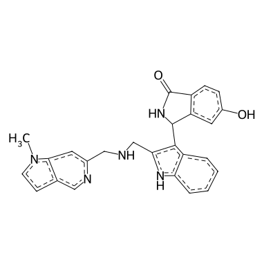 Cn1ccc2cnc(CNCc3[nH]c4ccccc4c3C3NC(=O)c4ccc(O)cc43)cc21